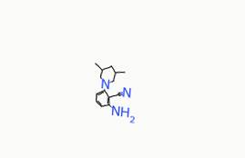 CC1CC(C)CN(c2cccc(N)c2C#N)C1